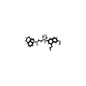 CCCc1cc(S(=O)(=O)NCCNn2cc3c4c(cccc42)CCC3)cc2ccc(OC)cc12.Cl